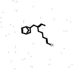 CC=C(CCCC=CCC)CC1CC2C=CC1C2